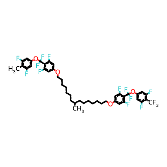 Cc1c(F)cc(OC(F)(F)c2c(F)cc(OCCCCCCCC(C)CCCCCCCOc3cc(F)c(C(F)(F)Oc4cc(F)c(C(F)(F)F)c(F)c4)c(F)c3)cc2F)cc1F